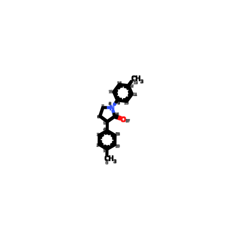 Cc1ccc(C2CCN(c3ccc(C)cc3)C2=O)cc1